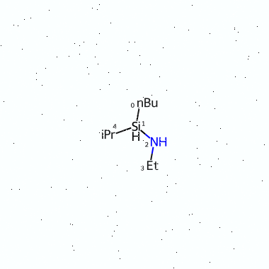 CCCC[SiH](NCC)C(C)C